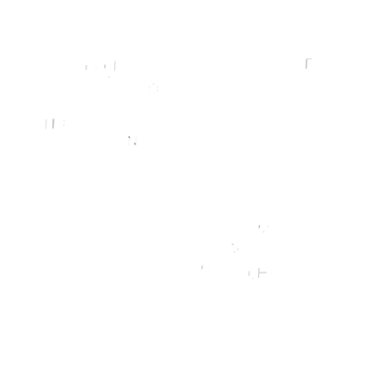 CC(C(=O)O)c1nc(-c2ccc(S(C)(=O)=O)cc2)c(-c2ccc(F)cc2)o1